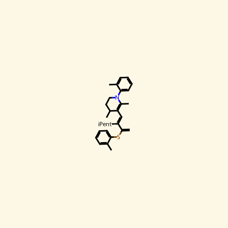 C=C(Sc1ccccc1C)/C(=C/C1=C(C)N(c2ccccc2C)CCC1C)C(C)CCC